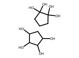 OC1(O)CCCC1(O)O.OC1CC(O)C(O)C1O